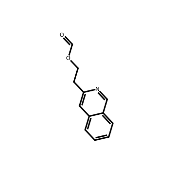 O=COCCc1cc2ccccc2cn1